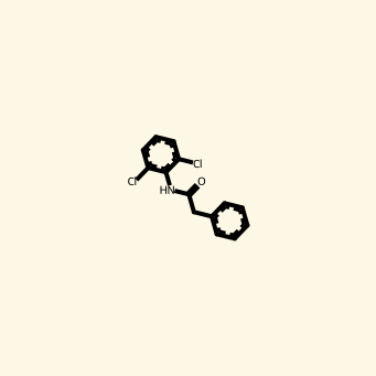 O=C(Cc1ccccc1)Nc1c(Cl)cccc1Cl